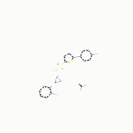 O=C(O)O.O=S(=O)(N[C@@H]1C[C@H]1c1ccccc1Br)c1ccc(-c2ccc(Cl)cc2)s1